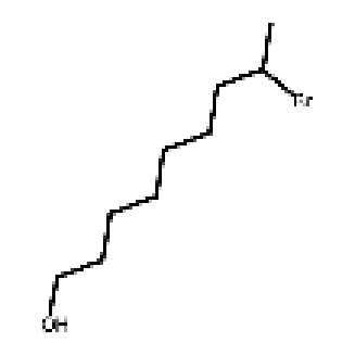 CC(Br)CCCCCCCO